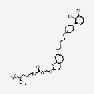 C=C(C)CCCNC(=O)OCOC1=Nc2cc(OCCCCN3CCN(c4cccc(Cl)c4Cl)CC3)ccc2CC1